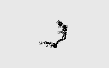 COC(=O)CC[C@@H](C)N1Cc2c(C#CCOCCN3CCN(CCOc4cc5nccc(Nc6ccc7scnc7c6)c5cc4[S+]([O-])C(C)(C)C)CC3)cccc2C1=O